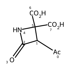 CC(=O)C1C(=O)NC1(C(=O)O)C(=O)O